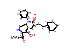 COC(=O)c1ncc2c(cc(CCc3ccccc3)c(=O)n2-c2ccccc2)c1O